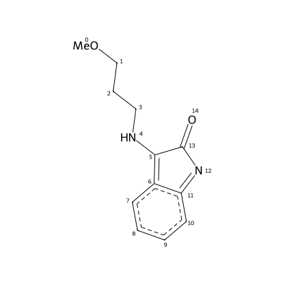 COCCCNC1=c2ccccc2=NC1=O